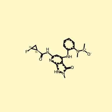 CN(c1ccccc1Nc1cc(NC(=O)[C@@H]2C[C@@H]2F)nc2[nH]n(C)c(=O)c12)[S+](C)[O-]